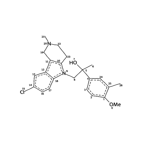 COc1ccc(C(C)(O)Cn2c3c(c4cc(Cl)ccc42)CN(C)CC3)cc1C